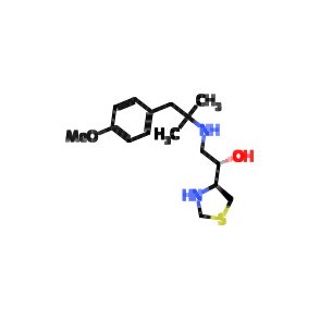 COc1ccc(CC(C)(C)NC[C@H](O)[C@H]2CSCN2)cc1